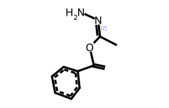 C=C(O/C(C)=N\N)c1ccccc1